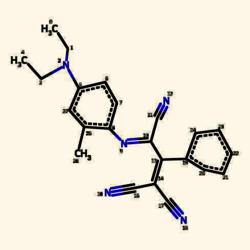 CCN(CC)c1ccc(N=C(C#N)C(=C(C#N)C#N)c2ccccc2)c(C)c1